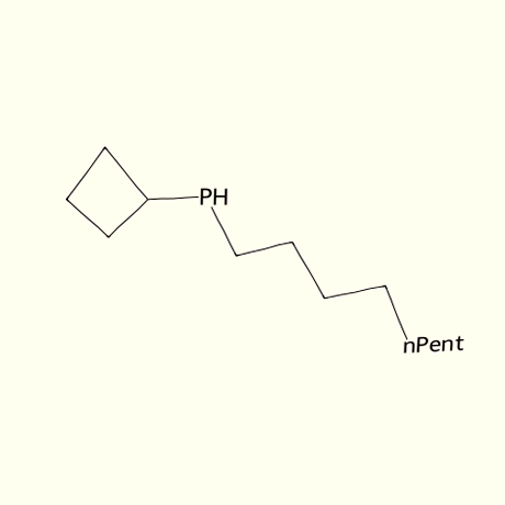 CCCCCCCCCPC1CCC1